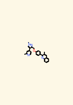 Cc1cc(-c2cn(C)nc2COc2ccc(-c3nc4ccccc4cc3C)cc2)ccn1